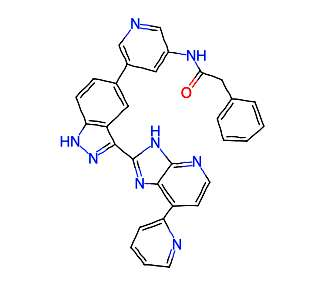 O=C(Cc1ccccc1)Nc1cncc(-c2ccc3[nH]nc(-c4nc5c(-c6ccccn6)ccnc5[nH]4)c3c2)c1